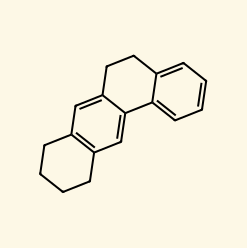 c1ccc2c(c1)CCc1cc3c(cc1-2)CCCC3